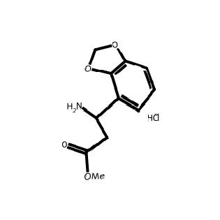 COC(=O)CC(N)c1cccc2c1OCO2.Cl